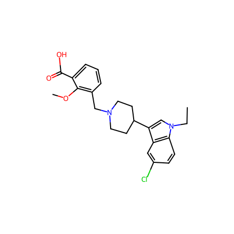 CCn1cc(C2CCN(Cc3cccc(C(=O)O)c3OC)CC2)c2cc(Cl)ccc21